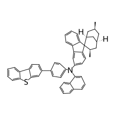 C[C@H]1C[C@@H]2C[C@H](C1)C1(c3ccccc3-c3cc(N(c4ccc(-c5ccc6c(c5)sc5ccccc56)cc4)c4cccc5ccccc45)ccc31)[C@H](C)C2